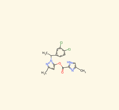 Cc1c[nH]c(C(=O)Oc2cc(C)nn2C(C)c2ccc(Cl)c(Cl)c2)n1